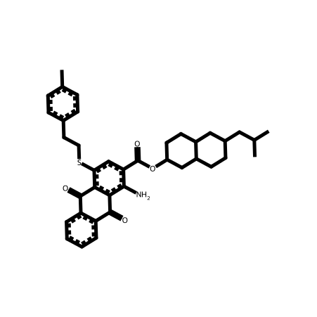 Cc1ccc(CCSc2cc(C(=O)OC3CCC4CC(CC(C)C)CCC4C3)c(N)c3c2C(=O)c2ccccc2C3=O)cc1